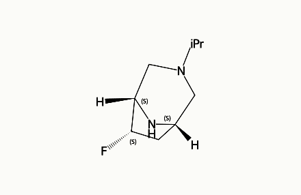 CC(C)N1C[C@@H]2C[C@H](F)[C@H](C1)N2